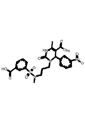 CC1=C(C(=O)O)C(c2cccc([N+](=O)[O-])c2)N(CCCN(C)S(=O)(=O)c2cccc(C(=O)O)c2)C(=O)N1